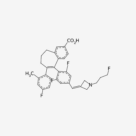 Cc1cc(F)ccc1C1=C(c2c(F)cc(C=C3CN(CCCF)C3)cc2F)c2ccc(C(=O)O)cc2CCC1